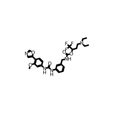 CCN(CC)CCC(OC(=O)NCc1cccc(NC(=O)Nc2ccc(-c3cnco3)c(OC)c2)c1)C(F)(F)F